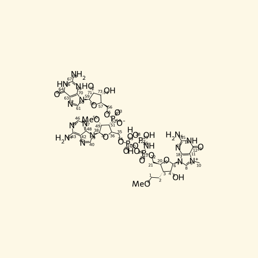 COCC[C@H]1[C@@H](O)[C@H](n2c[n+](C)c3c(=O)[nH]c(N)nc32)O[C@@H]1COP(=O)(O)NP(=O)(O)OP(=O)(O)OCC1O[C@@H](n2cnc3c(N)ncnc32)[C@H](OC)[C@@H]1P(=O)([O-])OC[C@H]1O[C@@H](n2cnc3c(=O)[nH]c(N)nc32)[C@H](O)[C@@H]1O